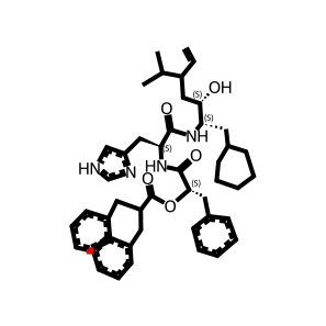 C=CC(C[C@H](O)[C@H](CC1CCCCC1)NC(=O)[C@H](Cc1c[nH]cn1)NC(=O)[C@H](Cc1ccccc1)OC(=O)C(Cc1ccccc1)Cc1ccccc1)C(C)C